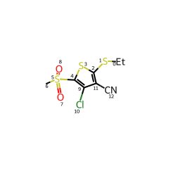 CCSc1sc(S(C)(=O)=O)c(Cl)c1C#N